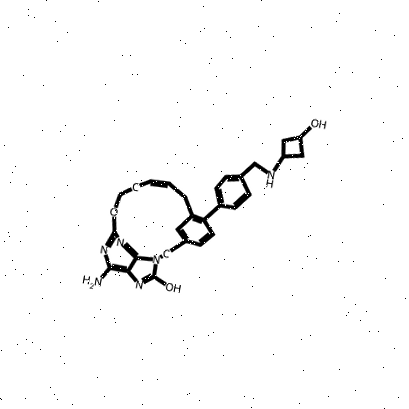 Nc1nc2nc3c1nc(O)n3Cc1ccc(-c3ccc(CNC4CC(O)C4)cc3)c(c1)C/C=C\CCO2